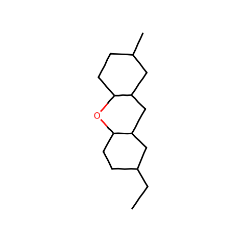 CCC1CCC2OC3CCC(C)CC3CC2C1